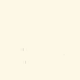 CC1CCCCCC1(C)C1CCCCCC1